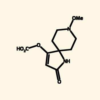 CON1CCC2(CC1)NC(=O)C=C2OC(=O)O